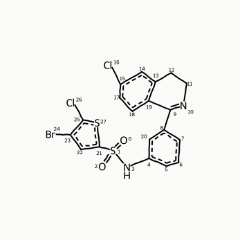 O=S(=O)(Nc1cccc(C2=NCCc3cc(Cl)ccc32)c1)c1cc(Br)c(Cl)s1